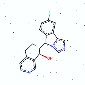 O[C@H]1c2cnccc2CC[C@@H]1[C@@H]1c2ccc(F)cc2-c2cncn21